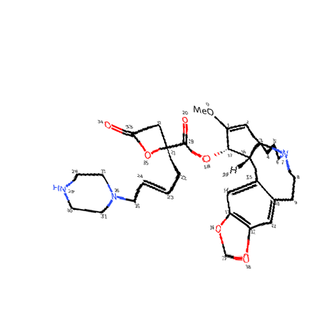 COC1=C[C@]23CCCN2CCc2cc4c(cc2[C@@H]3[C@@H]1OC(=O)[C@@]1(C/C=C/CN2CCNCC2)CC(=O)O1)OCO4